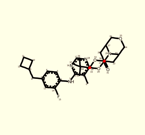 Cc1c(Nc2ccc(CC3CCC3)cc2F)ncnc1OC1CC2COCC(C1)N2C(=O)OCC(C)(C)C